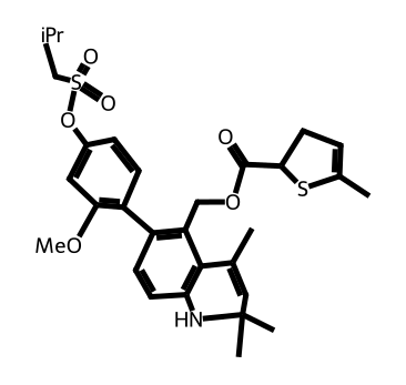 COc1cc(OS(=O)(=O)CC(C)C)ccc1-c1ccc2c(c1COC(=O)C1CC=C(C)S1)C(C)=CC(C)(C)N2